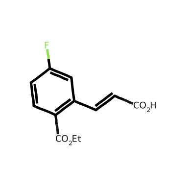 CCOC(=O)c1ccc(F)cc1C=CC(=O)O